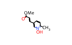 COC(=O)/C=C/c1ccc(C)[n+](O)c1